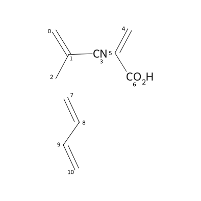 C=C(C)C#N.C=CC(=O)O.C=CC=C